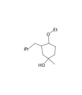 CCOC1CCC(C)(O)CC1CC(C)C